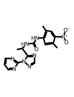 Cc1cc([N+](=O)[O-])c(C)cc1NC(=O)NC(C)c1ncnn1-c1ncccn1